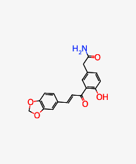 NC(=O)Cc1ccc(O)c(C(=O)/C=C/c2ccc3c(c2)OCO3)c1